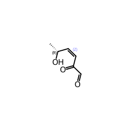 C[C@@H](O)/C=C\C(=O)C=O